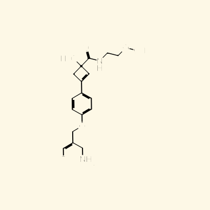 COCCNC(=O)C1(C)C=C(c2ccc(OC/C(=C/F)CN)cc2)C1